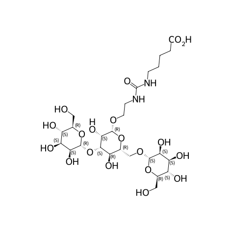 O=C(O)CCCCNC(=O)NCCO[C@@H]1O[C@H](CO[C@H]2O[C@H](CO)[C@@H](O)[C@H](O)[C@@H]2O)[C@@H](O)[C@H](O[C@H]2O[C@H](CO)[C@@H](O)[C@H](O)[C@@H]2O)[C@@H]1O